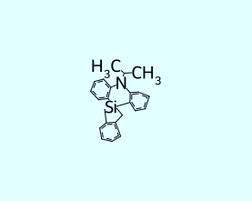 CC(C)N1c2ccccc2[Si]2(Cc3ccccc3C2)c2ccccc21